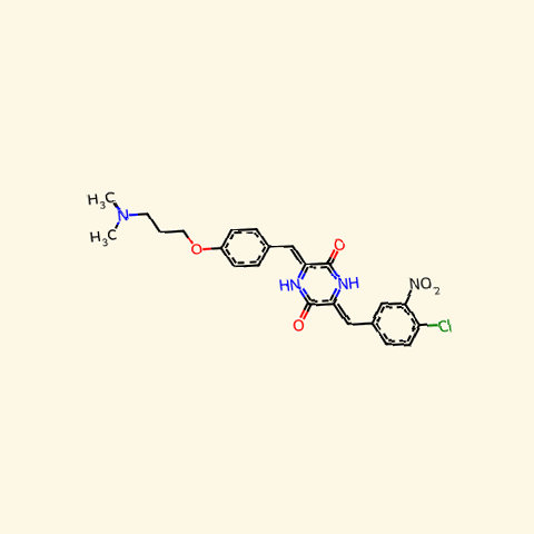 CN(C)CCCOc1ccc(C=c2[nH]c(=O)c(=Cc3ccc(Cl)c([N+](=O)[O-])c3)[nH]c2=O)cc1